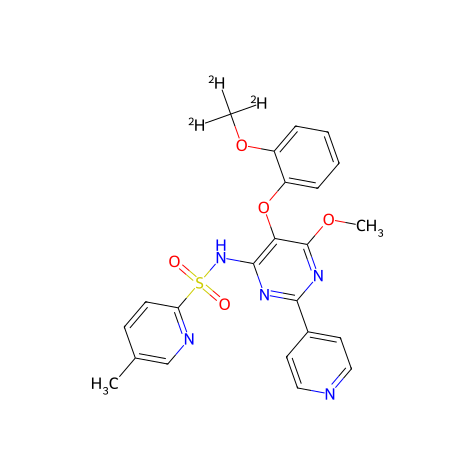 [2H]C([2H])([2H])Oc1ccccc1Oc1c(NS(=O)(=O)c2ccc(C)cn2)nc(-c2ccncc2)nc1OC